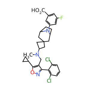 CN(Cc1c(-c2c(Cl)cccc2Cl)noc1C1CC1)C1CC2(C1)CC1CCC(C2)N1c1cc(F)cc(C(=O)O)c1